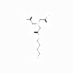 NCCCCOC(=O)CN(CC(=O)O)CC(=O)O